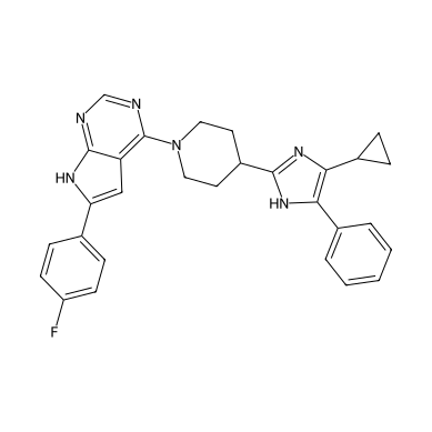 Fc1ccc(-c2cc3c(N4CCC(c5nc(C6CC6)c(-c6ccccc6)[nH]5)CC4)ncnc3[nH]2)cc1